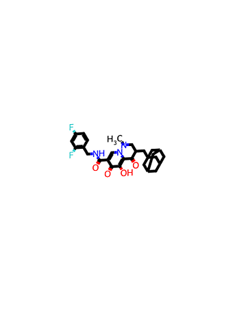 CN1CC(CC23CC4CC(CC(C4)C2)C3)C(=O)c2c(O)c(=O)c(C(=O)NCc3ccc(F)cc3F)cn21